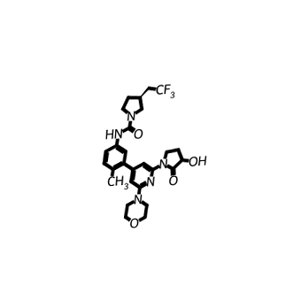 Cc1ccc(NC(=O)N2CC[C@@H](CC(F)(F)F)C2)cc1-c1cc(N2CCOCC2)nc(N2CCC(O)C2=O)c1